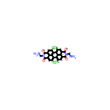 NCN1C(=O)c2cc(Cl)c3c4c(Cl)cc5c6c(cc(Cl)c(c7c(Cl)cc(c2c37)C1=O)c64)C(=O)N(CN)C5=O